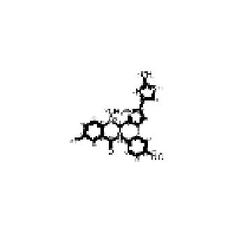 Cc1nc(-c2ccc(C3N(C)c4ccc(F)cc4C(=O)N3c3ccc(N=O)cc3)s2)cs1